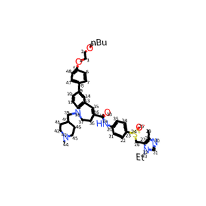 CCCCOCCOc1ccc(-c2ccc3c(c2)C=C(C(=O)Nc2ccc([S+]([O-])Cc4c(C)ncn4CC)cc2)CCN3CC2CCN(C)CC2)cc1